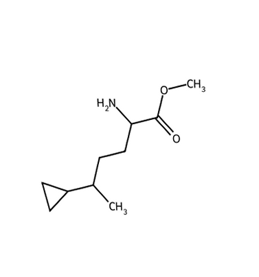 COC(=O)C(N)CCC(C)C1CC1